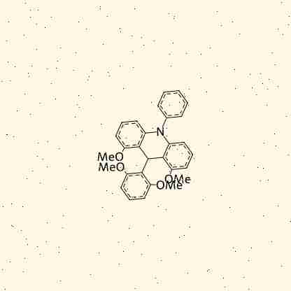 COc1cccc(OC)c1C1c2c(OC)cccc2N(c2ccccc2)c2cccc(OC)c21